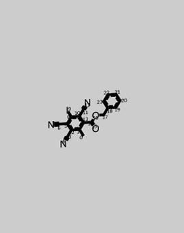 Cc1c(C#N)c(C#N)c(I)c(C#N)c1C(=O)OCc1ccccc1